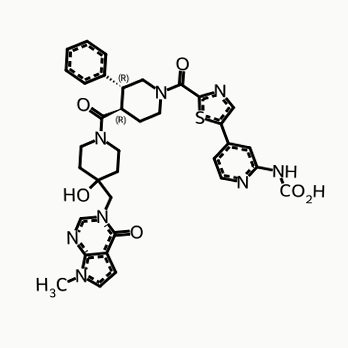 Cn1ccc2c(=O)n(CC3(O)CCN(C(=O)[C@@H]4CCN(C(=O)c5ncc(-c6ccnc(NC(=O)O)c6)s5)C[C@H]4c4ccccc4)CC3)cnc21